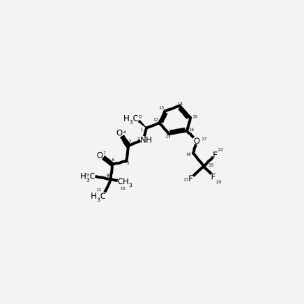 C[C@H](NC(=O)CC(=O)C(C)(C)C)c1cccc(OCC(F)(F)F)c1